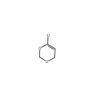 ClC1=CCOCO1